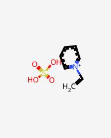 C=C[n+]1ccccc1.O=S(=O)(O)O